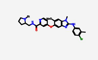 CCN1CCCC1CNC(=O)c1cc(Oc2cc3nc(Nc4ccc(Br)c(C)c4)n(C)c3cc2OC)ccn1